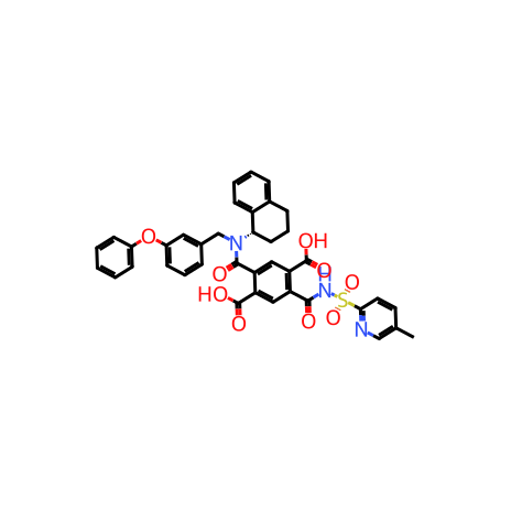 Cc1ccc(S(=O)(=O)NC(=O)c2cc(C(=O)O)c(C(=O)N(Cc3cccc(Oc4ccccc4)c3)[C@H]3CCCc4ccccc43)cc2C(=O)O)nc1